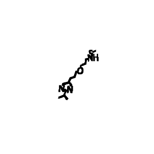 CSNCCCOCCCc1cnc(C(C)C)nc1